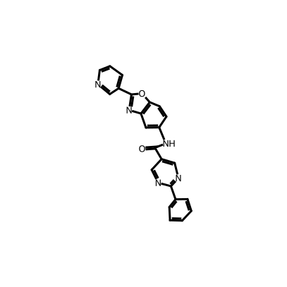 O=C(Nc1ccc2oc(-c3cccnc3)nc2c1)c1cnc(-c2ccccc2)nc1